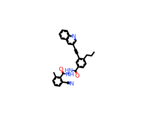 CCCc1ccc(C(=O)NNC(=O)c2c(C)cccc2C#N)cc1C#Cc1cnc2ccccc2c1